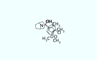 COc1cc(C2(O)CC3CCC(C2)N3C(C)c2ccc(OC)c(C)c2C)ccc1Cl